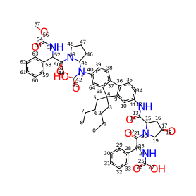 CCCCC1(CCCC)c2cc(NC(=O)C3CC(=O)CN3C(=O)[C@H](NC(=O)O)c3ccccc3)ccc2-c2ccc(N(C(=O)O)C3CCCN3C(=O)C(NC(=O)OC)c3ccccc3)cc21